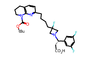 CC(C)(C)OC(=O)N1CCCc2ccc(CCCCC3(F)CN([C@@H](CC(=O)O)c4cc(F)cc(F)c4)C3)nc21